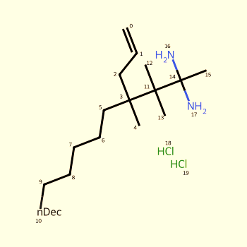 C=CCC(C)(CCCCCCCCCCCCCCC)C(C)(C)C(C)(N)N.Cl.Cl